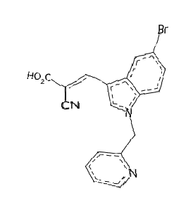 N#C/C(=C\c1cn(Cc2ccccn2)c2ccc(Br)cc12)C(=O)O